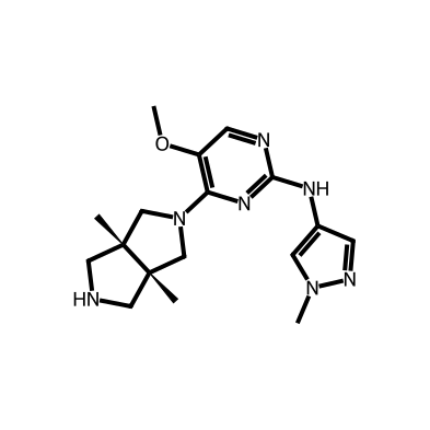 COc1cnc(Nc2cnn(C)c2)nc1N1C[C@]2(C)CNC[C@]2(C)C1